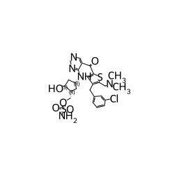 CN(C)Cc1sc(C(=O)c2cncnc2N[C@@H]2C[C@H](COS(N)(=O)=O)[C@@H](O)C2)cc1Cc1cccc(Cl)c1